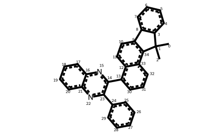 CC1(C)c2ccccc2-c2ccc3c(-c4nc5ccccc5nc4-c4ccccc4)cccc3c21